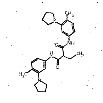 CCC(C(=O)Nc1ccc(C)c(N2CCCC2)c1)C(=O)Nc1ccc(C)c(N2CCCC2)c1